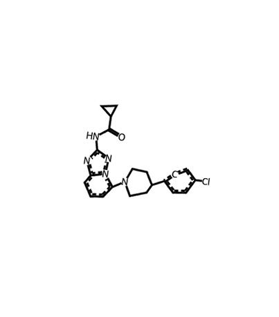 O=C(Nc1nc2cccc(N3CCC(c4ccc(Cl)cc4)CC3)n2n1)C1CC1